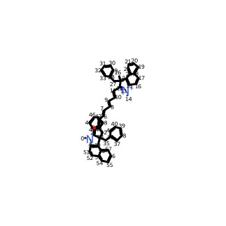 CN1/C(=C/C=C/C=C/C=C/C=C/C2=[N+](C)c3ccc4ccccc4c3C2(C)Cc2ccccc2)C(Cc2ccccc2)(Cc2ccccc2)c2c1ccc1ccccc21